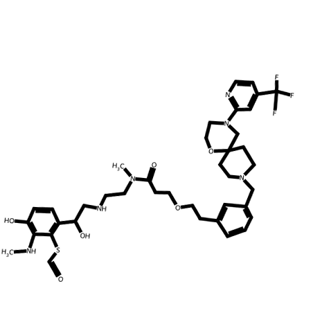 CNc1c(O)ccc(C(O)CNCCN(C)C(=O)CCOCCc2cccc(CN3CCC4(CC3)CN(c3cc(C(F)(F)F)ccn3)CCO4)c2)c1SC=O